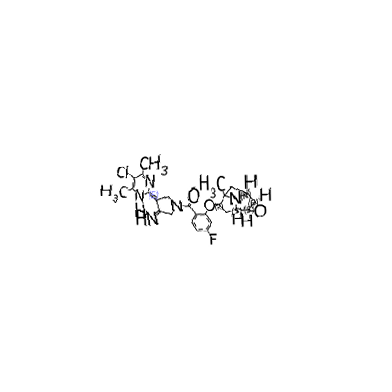 CC1=N/C(=C2\CN(C(=O)c3ccc(F)cc3O[C@@H]3C[C@H]4[C@@H]5O[C@@H]5[C@H]5CC3(C)N54)CC2=N)NC(C)=C1Cl